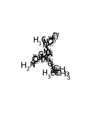 Cn1nc(-c2cnc3c(n2)c(C(=O)N[C@H]2CCC[C@H](N)C2)cn3COCC[Si](C)(C)C)c2ccc(Cl)cc21